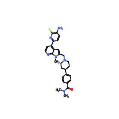 CN(C)C(=O)c1ccc(C2CCN(Cc3cc4c(-c5ccc(N)c(F)n5)ccnc4n3C)CC2)cc1